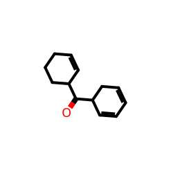 O=C(C1C=CC=CC1)C1C=CCCC1